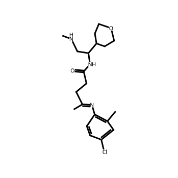 CNCC(NC(=O)CC/C(C)=N/c1ccc(Cl)cc1C)C1CCOCC1